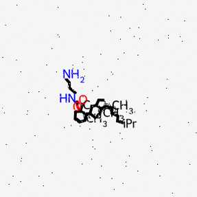 CC(C)CCC[C@@H](C)[C@H]1CCC2C3CCC4(OC(=O)NCCCCN)CC=CC[C@]4(C)C3CC[C@@]21C